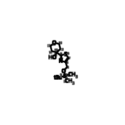 CC(C)(C)[Si](C)(C)OCc1csc(C2(O)CCOCC2)n1